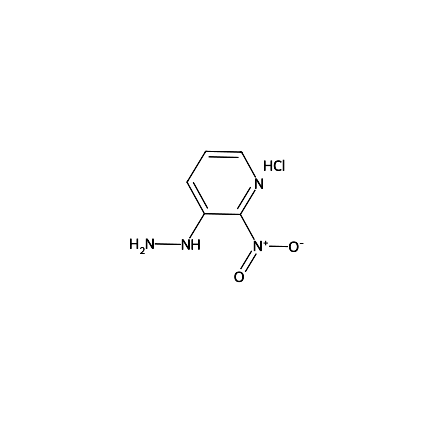 Cl.NNc1cccnc1[N+](=O)[O-]